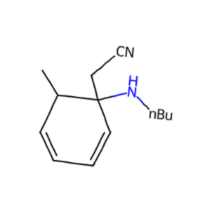 CCCCNC1(CC#N)C=CC=CC1C